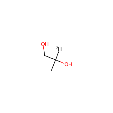 [2H]C(C)(O)CO